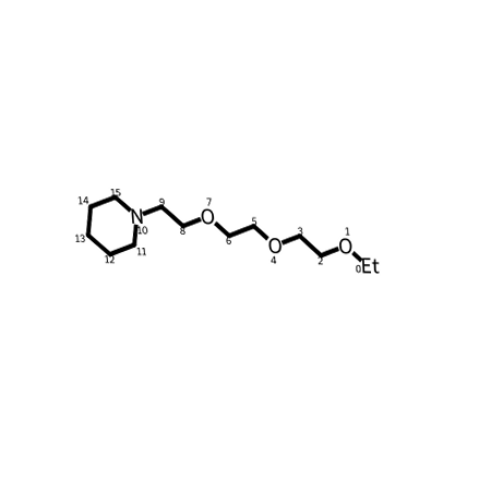 [CH2]COCCOCCOCCN1CCCCC1